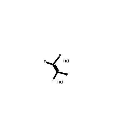 Cl.Cl.FC(F)=C(F)F